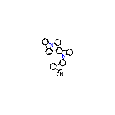 N#Cc1cc2ccc(-n3c4ccccc4c4ccc(-c5cccc6c7ccccc7n(-c7ccccc7)c56)cc43)cc2c2ccccc12